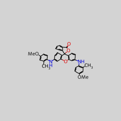 COc1ccc(Nc2ccc3c(c2)Oc2cc(Nc4ccc(OC)cc4C)ccc2C32OC(=O)c3ccccc32)c(C)c1